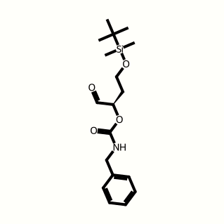 CC(C)(C)[Si](C)(C)OCC[C@H](C=O)OC(=O)NCc1ccccc1